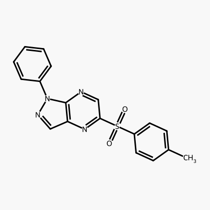 Cc1ccc(S(=O)(=O)c2cnc3c(cnn3-c3ccccc3)n2)cc1